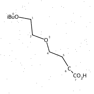 CC(C)COCCOCCCC(=O)O